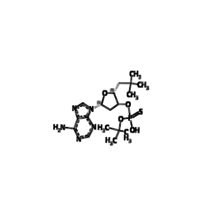 CC(C)(C)C[C@H]1O[C@@H](n2cnc3c(N)ncnc32)CC1OP(O)(=S)OC(C)(C)C